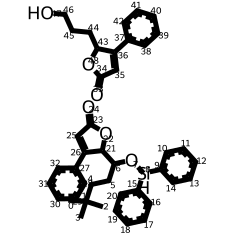 CC(C)(C)CCC(O[SiH](c1ccccc1)c1ccccc1)C1OC(=O)C=C1c1ccccc1.O=C1C=C(c2ccccc2)C(CCCO)O1